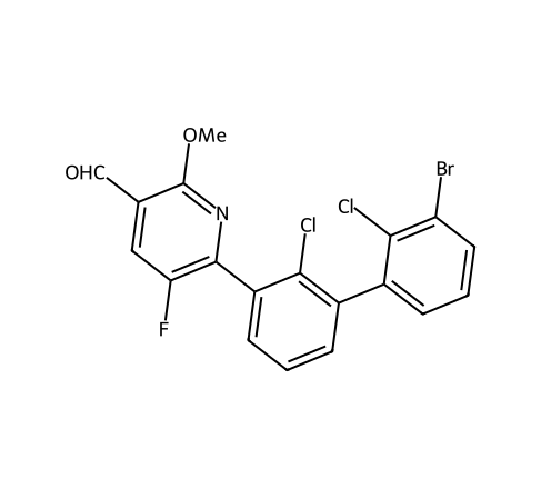 COc1nc(-c2cccc(-c3cccc(Br)c3Cl)c2Cl)c(F)cc1C=O